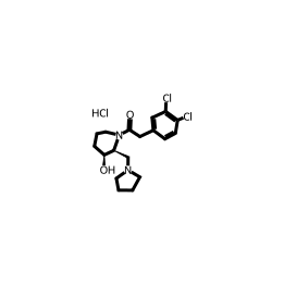 Cl.O=C(Cc1ccc(Cl)c(Cl)c1)N1CCC[C@H](O)[C@@H]1CN1CCCC1